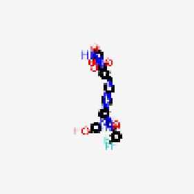 O=C1CCN(N2C(=O)c3ccc(CN4CCC(N5CCN(c6ccc7c(c6)nc(NC(=O)c6cccc(C(F)(F)F)c6)n7C6CCC(CO)CC6)CC5)CC4)cc3C2=O)C(=O)N1